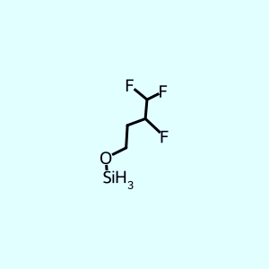 FC(F)C(F)CCO[SiH3]